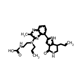 C=CCC1CNC(=O)c2cc(-c3cccc4nc(C)c(N(CC=C)CCNC(=O)O)nc34)[nH]c21